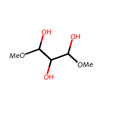 COC(O)C(O)C(O)OC